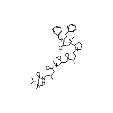 COC(CC(=O)C(C)CCN1CCCC1C(CC(=O)N(CCc1ccccc1)Cc1ccccc1)SC)CN(C)C(=O)CC(C)CNC(=O)C(C(C)C)N(C)C